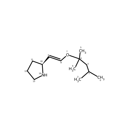 CC(C)CC(C)(C)O/C=C/[C@@H]1CCCN1